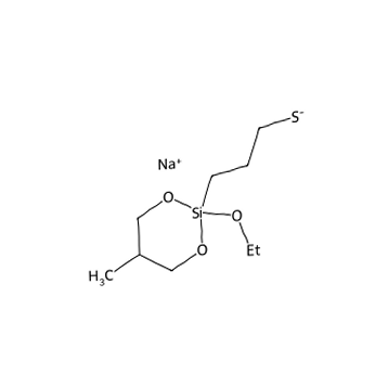 CCO[Si]1(CCC[S-])OCC(C)CO1.[Na+]